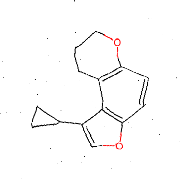 c1cc2occ(C3CC3)c2c2c1OCCC2